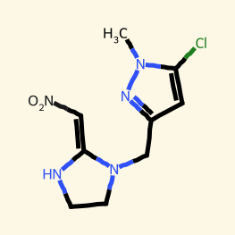 Cn1nc(CN2CCN/C2=C\[N+](=O)[O-])cc1Cl